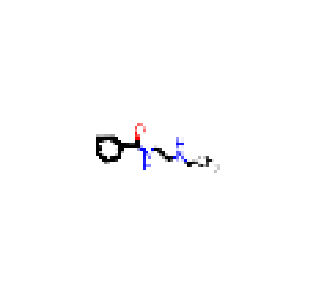 O=C(NCCNCC(F)(F)F)c1ccccc1